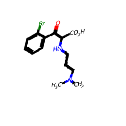 CN(C)CCCNC(C(=O)O)C(=O)c1ccccc1Br